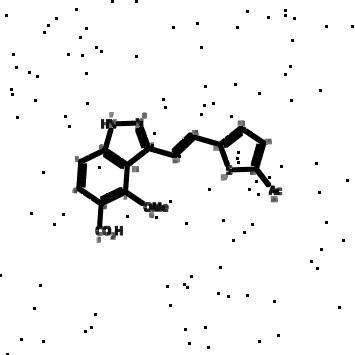 COc1c(C(=O)O)ccc2[nH]nc(/C=C/c3ccc(C(C)=O)s3)c12